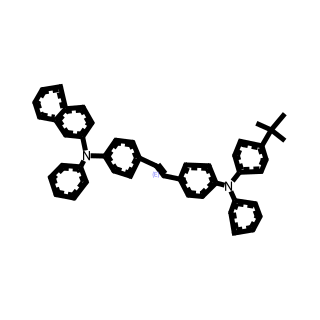 CC(C)(C)c1ccc(N(c2ccccc2)c2ccc(/C=C/c3ccc(N(c4ccccc4)c4ccc5ccccc5c4)cc3)cc2)cc1